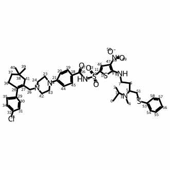 CC(C)N(C)C(CCNc1sc(S(=O)(=O)NC(=O)c2ccc(N3CCN(CC4=C(c5ccc(Cl)cc5)CCC(C)(C)C4)CC3)cc2)cc1[N+](=O)[O-])CSc1ccccc1